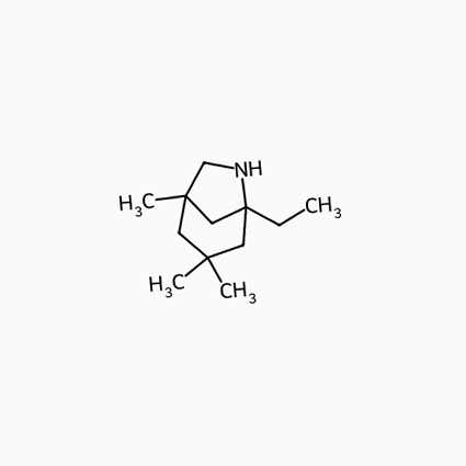 CCC12CC(C)(C)CC(C)(CN1)C2